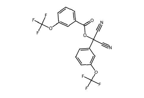 N#CC(C#N)(OC(=O)c1cccc(OC(F)(F)F)c1)c1cccc(OC(F)(F)F)c1